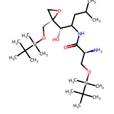 CC(C)CC(NC(=O)[C@@H](N)CO[Si](C)(C)C(C)(C)C)[C@H](O)[C@@]1(CO[Si](C)(C)C(C)(C)C)CO1